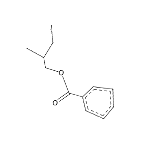 CC(CI)COC(=O)c1ccccc1